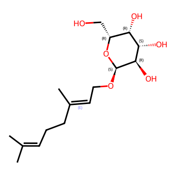 CC(C)=CCC/C(C)=C/CO[C@H]1O[C@H](CO)[C@H](O)[C@H](O)[C@H]1O